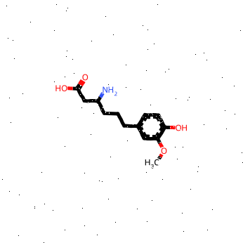 COc1cc(CCCC(N)CC(=O)O)ccc1O